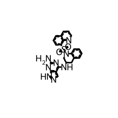 Nc1nc(NC2Cc3ccccc3N(S(=O)(=O)c3cccc4cccnc34)C2)c2cn[nH]c2n1